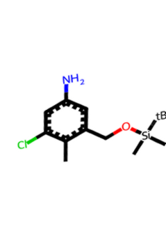 Cc1c(Cl)cc(N)cc1CO[Si](C)(C)C(C)(C)C